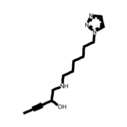 CC#CC(O)CNCCCCCCn1ccnn1